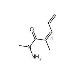 C=C/C=C(/C)C(=O)N(C)N